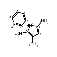 Cc1cc(N)[nH]c1[N+](=O)[O-].c1ccncc1